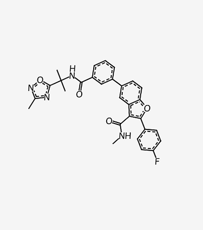 CNC(=O)c1c(-c2ccc(F)cc2)oc2ccc(-c3cccc(C(=O)NC(C)(C)c4nc(C)no4)c3)cc12